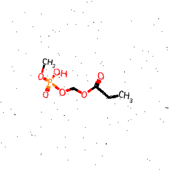 CCC(=O)OCOP(=O)(O)OC